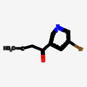 O=C(O)CCC(=O)c1cncc(Br)c1